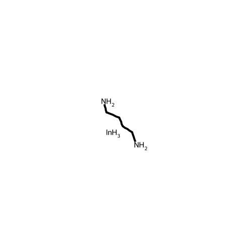 NCCCCN.[InH3]